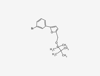 CC(C)(C)[Si](C)(C)OCc1ccc(-c2cccc(Br)c2)o1